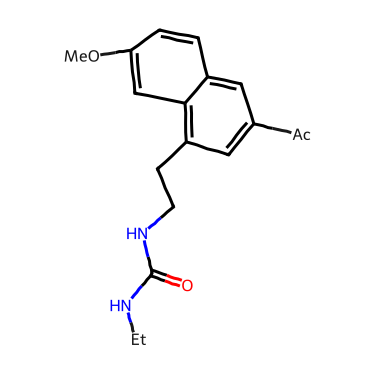 CCNC(=O)NCCc1cc(C(C)=O)cc2ccc(OC)cc12